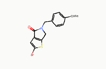 COc1ccc(CN2Cc3sc(Br)cc3C2=O)cc1